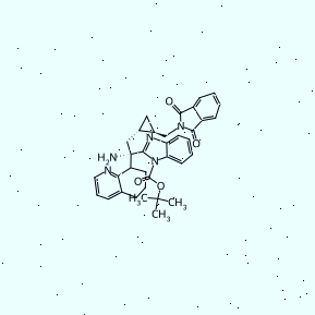 CC(C)(C)OC(=O)n1c([C@](N)(C[C@@H]2C[C@H]2CN2C(=O)c3ccccc3C2=O)C2CCCc3cccnc32)nc2ccccc21